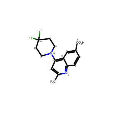 O=C(O)c1ccc2nc(C(F)(F)F)cc(N3CCC(F)(F)CC3)c2c1